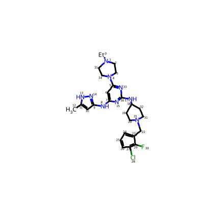 CCN1CCN(c2cc(Nc3cc(C)[nH]n3)nc(NC3CCN(Cc4cccc(Cl)c4F)CC3)n2)CC1